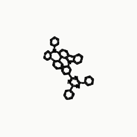 c1ccc(-c2nc(-c3ccccc3)nc(-c3cccc(-n4c5ccccc5c5ccc6c(c54)-c4ccccc4-c4ccccc4N6c4ccccc4)c3)n2)cc1